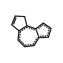 [CH]1C=Cc2cccc3cccc-3c21